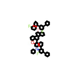 Fc1ccc(B(c2c(F)cc(-c3ccccc3)cc2-c2ccccc2)c2cc3c4cccc5c4c(cc3c3ccccc23)-c2ccc(N(c3ccccc3)c3c(F)cc(-c4ccccc4)cc3-c3ccccc3)cc2O5)cc1